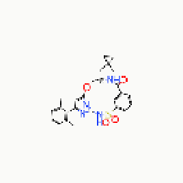 Cc1cccc(C)c1-c1cc2nc(n1)NS(=O)(=O)c1cccc(c1)C(=O)N[C@H](CC1(C)CC1)CO2